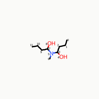 CCCC(O)N(C)C(O)CCC